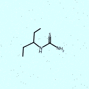 CCC(CC)NC(N)=S